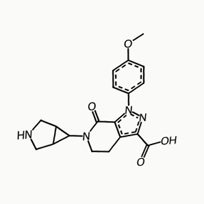 COc1ccc(-n2nc(C(=O)O)c3c2C(=O)N(C2C4CNCC42)CC3)cc1